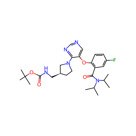 CC(C)N(C(=O)c1cc(F)ccc1Oc1cncnc1N1CC[C@@H](CNC(=O)OC(C)(C)C)C1)C(C)C